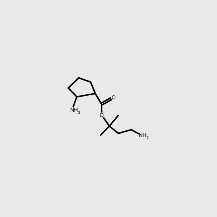 CC(C)(CCN)OC(=O)C1CCCC1N